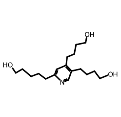 OCCCCCc1cc(CCCCO)c(CCCCO)cn1